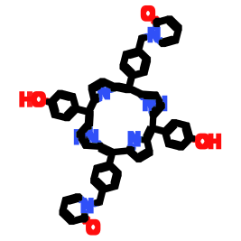 O=c1ccccn1Cc1ccc(-c2c3nc(c(-c4ccc(O)cc4)c4ccc([nH]4)c(-c4ccc(Cn5ccccc5=O)cc4)c4nc(c(-c5ccc(O)cc5)c5ccc2[nH]5)C=C4)C=C3)cc1